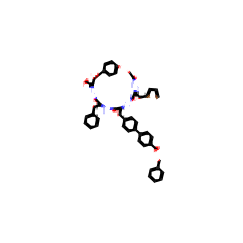 O=C1COc2ccc(cc2)C[C@@H](C(=O)O)NC(=O)[C@H](Cc2ccccc2)NC(=O)[C@H](Cc2ccc(-c3ccc(C(=O)OCc4ccccc4)cc3)cc2)NC(=O)[C@H](Cc2cccs2)N1